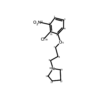 O=[N+]([O-])c1cccc(OCCCN2CCCC2)c1Cl